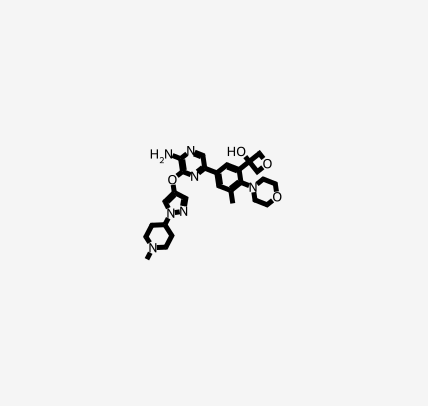 Cc1cc(-c2cnc(N)c(Oc3cnn(C4CCN(C)CC4)c3)n2)cc(C2(O)COC2)c1N1CCOCC1